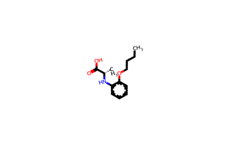 CCCCOc1ccccc1N[C@@H](C)C(=O)O